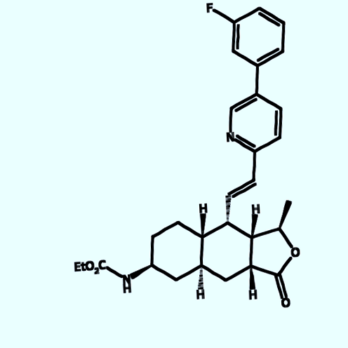 CCOC(=O)N[C@H]1CC[C@H]2[C@H](C1)C[C@H]1C(=O)O[C@H](C)[C@H]1[C@H]2/C=C/c1ccc(-c2cccc(F)c2)cn1